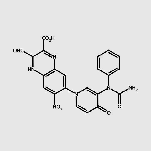 NC(=O)N(c1ccccc1)c1cn(-c2cc3c(cc2[N+](=O)[O-])NC(C=O)C(C(=O)O)=N3)ccc1=O